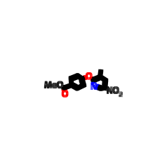 COC(=O)c1ccc(Oc2ncc([N+](=O)[O-])cc2C)cc1